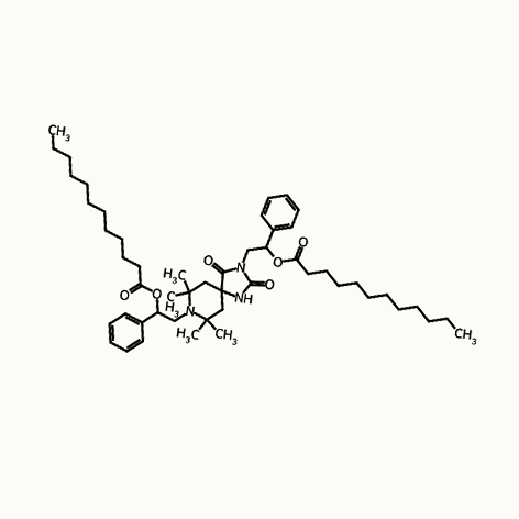 CCCCCCCCCCCC(=O)OC(CN1C(=O)NC2(CC(C)(C)N(CC(OC(=O)CCCCCCCCCCC)c3ccccc3)C(C)(C)C2)C1=O)c1ccccc1